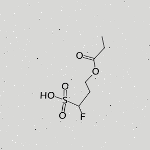 CCC(=O)OCCC(F)S(=O)(=O)O